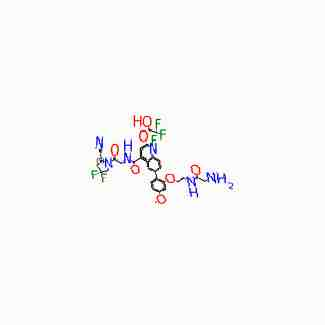 COc1ccc(-c2ccc3nccc(C(=O)NCC(=O)N4CC(F)(F)C[C@H]4C#N)c3c2)c(OCCNC(=O)CN)c1.O=C(O)C(F)(F)F